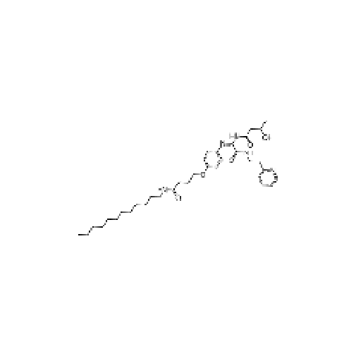 CCCCCCCCCCCCNC(=O)CCCOc1ccc(/N=C(/NC(=O)CC(C)O)C(=O)NCCc2ccccn2)cc1